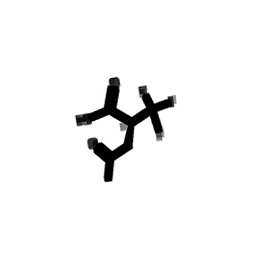 CC(=O)C[C@@H](C(=O)S)C(F)(F)F